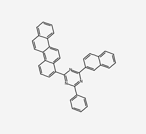 c1ccc(-c2nc(-c3ccc4ccccc4c3)nc(-c3cccc4c3ccc3c5ccccc5ccc43)n2)cc1